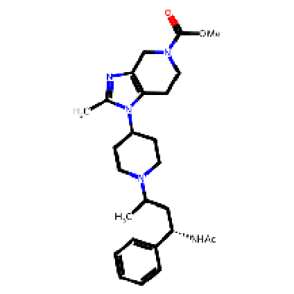 COC(=O)N1CCc2c(nc(C)n2C2CCN(C(C)C[C@H](NC(C)=O)c3ccccc3)CC2)C1